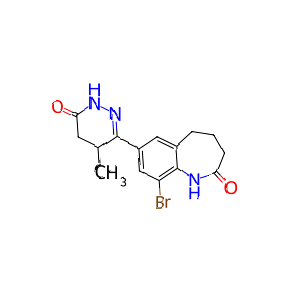 CC1CC(=O)NN=C1c1cc(Br)c2c(c1)CCCC(=O)N2